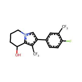 OC1CCCn2cc(-c3ccc(F)c(C(F)(F)F)c3)c(C(F)(F)F)c21